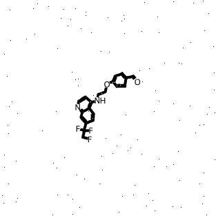 O=Cc1ccc(OCCNc2ccnc3cc(C(F)(F)CF)ccc23)cc1